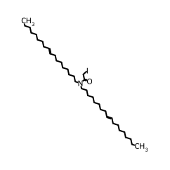 CCCCCCCCC=CCCCCCCCCN(CCCCCCCCC=CCCCCCCCC)C(=O)CI